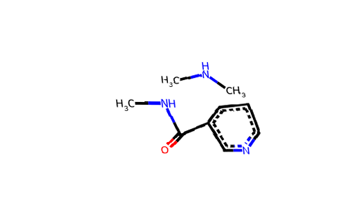 CNC.CNC(=O)c1cccnc1